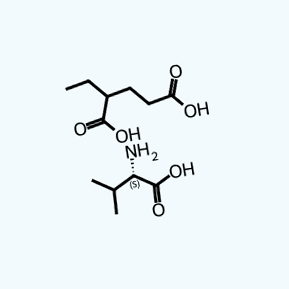 CC(C)[C@H](N)C(=O)O.CCC(CCC(=O)O)C(=O)O